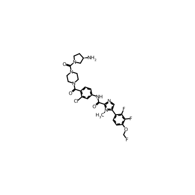 Cn1c(-c2ccc(OCF)c(F)c2F)cnc1C(=O)Nc1ccc(C(=O)N2CCN(C(=O)N3CC[C@@H](N)C3)CC2)c(Cl)c1